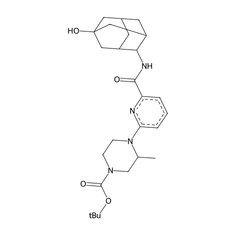 CC1CN(C(=O)OC(C)(C)C)CCN1c1cccc(C(=O)NC2C3CC4CC2CC(O)(C4)C3)n1